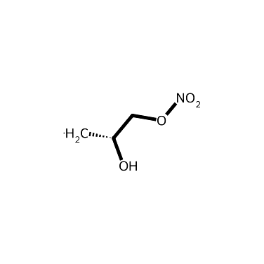 [CH2][C@@H](O)CO[N+](=O)[O-]